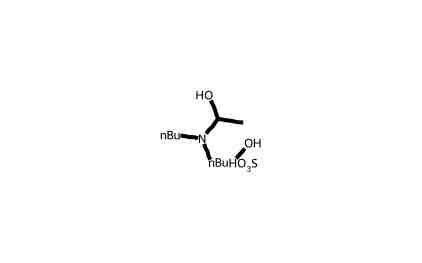 CCCCN(CCCC)C(C)O.O=S(=O)(O)O